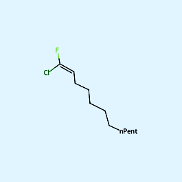 CCCCCCCCCCC=C(F)Cl